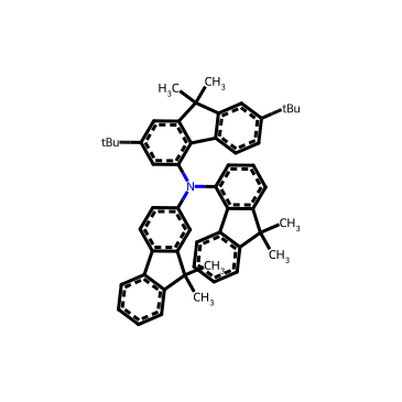 CC(C)(C)c1ccc2c(c1)C(C)(C)c1cc(C(C)(C)C)cc(N(c3ccc4c(c3)C(C)(C)c3ccccc3-4)c3cccc4c3-c3ccccc3C4(C)C)c1-2